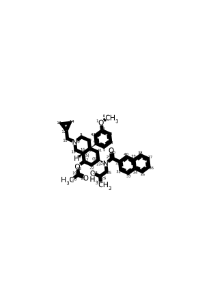 COc1cccc([C@@]23CCN(CC4CC4)C[C@H]2C(OC(C)=O)C[C@@H](N(CC(C)C)C(=O)c2ccc4ccccc4c2)C3)c1